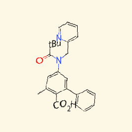 Cc1cc(N(Cc2ccccn2)C(=O)C(C)(C)C)cc(-c2ccccc2)c1C(=O)O